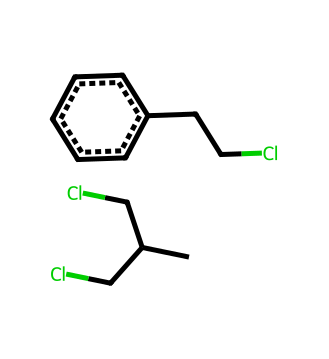 CC(CCl)CCl.ClCCc1ccccc1